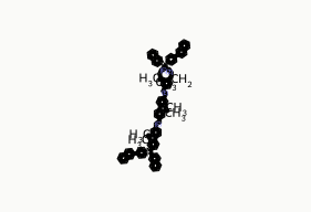 C=C1/C=C\C(N(c2ccc3ccccc3c2)[C@H]2C=CC(c3ccc4ccccc4c3)=CC2)=C/CC(C)(C)c2cc(/C=C/c3ccc4c(c3)C(C)(C)c3cc(/C=C/c5ccc6c(c5)C(C)(C)c5cc(N(c7ccc(-c8ccc9ccccc9c8)cc7)c7ccc8ccccc8c7)ccc5-6)ccc3-4)ccc21